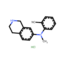 CN(c1ccc2c(c1)CNCC2)c1ccccc1C#N.Cl